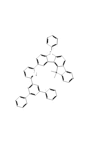 CC1(C)c2ccccc2-c2ccc3c(c21)c1cc(-c2cccc(-c4cc(-c5ccccc5)cc(-c5ccccc5)c4)n2)ccc1n3-c1ccccc1